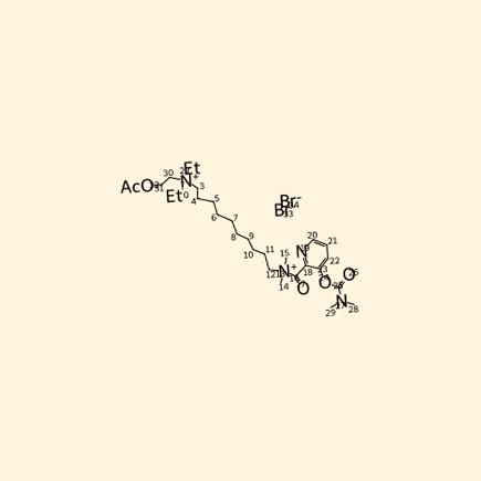 CC[N+](CC)(CCCCCCCCCC[N+](C)(C)C(=O)c1ncccc1OC(=O)N(C)C)CCOC(C)=O.[Br-].[Br-]